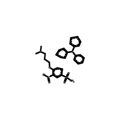 CN(C)CCCOc1ccc(S(N)(=O)=O)cc1[N+](=O)[O-].c1ccc(P(c2ccccc2)c2ccccc2)cc1